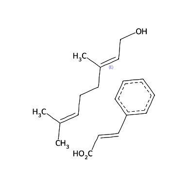 CC(C)=CCC/C(C)=C/CO.O=C(O)C=Cc1ccccc1